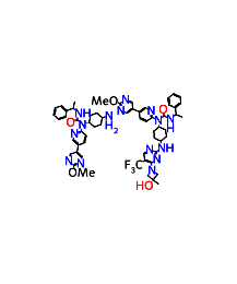 COc1ncc(-c2ccc(N(C(=O)NC(C)c3ccccc3)[C@H]3CC[C@H](N)CC3)nc2)cn1.COc1ncc(-c2ccc(N(C(=O)NC(C)c3ccccc3)[C@H]3CC[C@H](Nc4ncc(C(F)(F)F)c(N5CC(C)(O)C5)n4)CC3)nc2)cn1